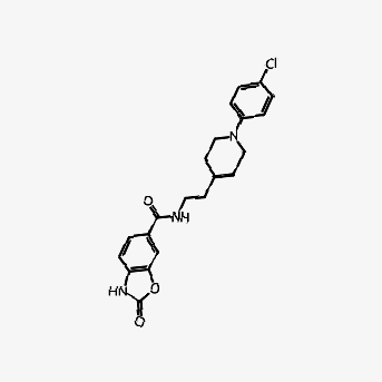 O=C(NCCC1CCN(c2ccc(Cl)cc2)CC1)c1ccc2[nH]c(=O)oc2c1